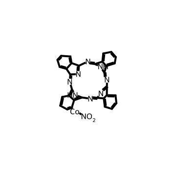 O=[N+]([O-])[Co][c]1cccc2c3nc4nc(nc5[nH]c(nc6nc(nc([nH]3)c12)-c1ccccc1-6)c1ccccc51)-c1ccccc1-4